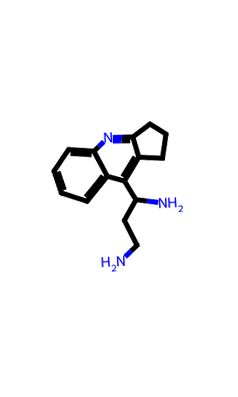 NCCC(N)c1c2c(nc3ccccc13)CCC2